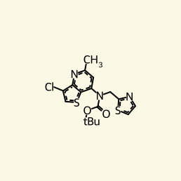 Cc1cc(N(Cc2nccs2)C(=O)OC(C)(C)C)c2scc(Cl)c2n1